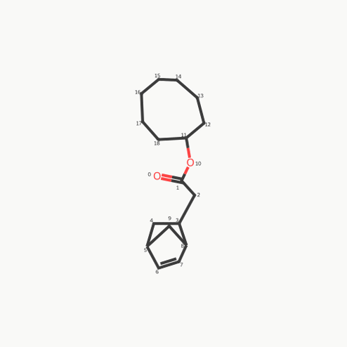 O=C(CC1CC2C=CC1C2)OC1CCCCCCC1